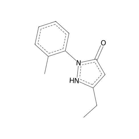 CCc1cc(=O)n(-c2ccccc2C)[nH]1